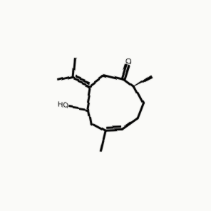 CC(C)=C1CC(=O)[C@@H](C)CC/C=C(/C)CC1O